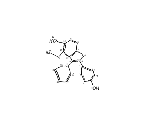 Oc1ccc(-c2oc3ccc(O)c(CBr)c3c2-c2ccccc2)cc1